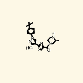 C[C@H]1CN(C(=O)c2csc(-c3cnn(-c4ccc(C(C)(C)C)cc4)c3)n2)CCN1.Cl